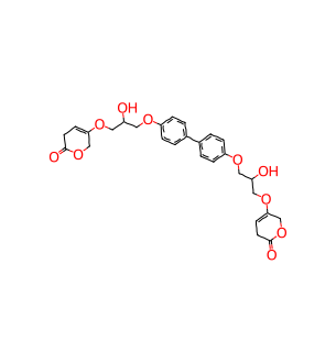 O=C1CC=C(OCC(O)COc2ccc(-c3ccc(OCC(O)COC4=CCC(=O)OC4)cc3)cc2)CO1